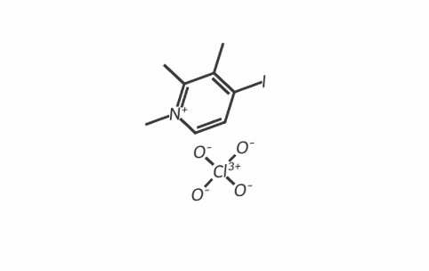 Cc1c(I)cc[n+](C)c1C.[O-][Cl+3]([O-])([O-])[O-]